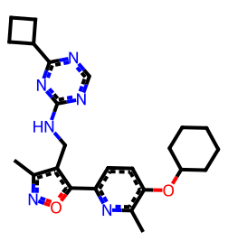 Cc1nc(-c2onc(C)c2CNc2ncnc(C3CCC3)n2)ccc1OC1CCCCC1